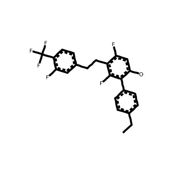 CCc1ccc(-c2c([O])cc(F)c(CCc3ccc(C(F)(F)F)c(F)c3)c2F)cc1